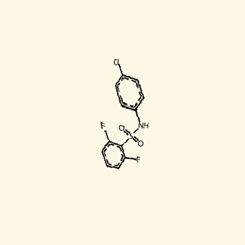 O=S(=O)(Nc1ccc(Cl)cc1)c1c(F)cccc1F